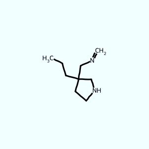 C=NCC1(CCC)CCNC1